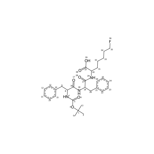 CC(C)(C)OC(=O)NC(Cc1ccccc1)C(=O)NC(Cc1ccccc1)C(=O)NC(CCCCCF)C(=O)O